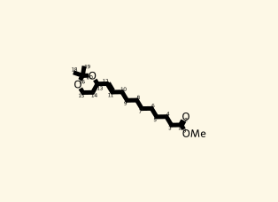 COC(=O)CCCCCCCCC=CC1CCOC(C)(C)O1